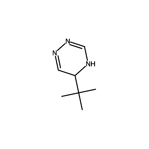 CC(C)(C)C1C=NN=CN1